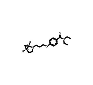 CCN(CC)C(=O)c1ccc(OCCCN2CC[C@@H]3C[C@@H]32)cc1